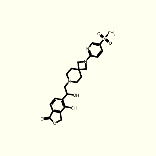 Cc1c(C(O)CN2CCC3(CC2)CN(c2ccc(S(C)(=O)=O)cn2)C3)ccc2c1COC2=O